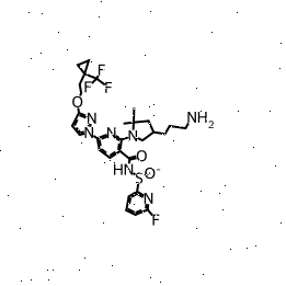 CC1(C)CC(CCCN)CN1c1nc(-n2ccc(OCCC3(C(F)(F)F)CC3)n2)ccc1C(=O)N[S+]([O-])c1cccc(F)n1